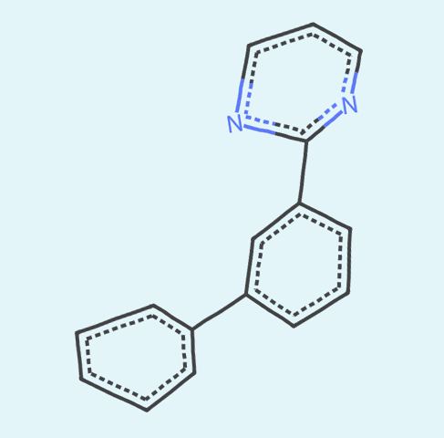 c1ccc(-c2cccc(-c3ncccn3)c2)cc1